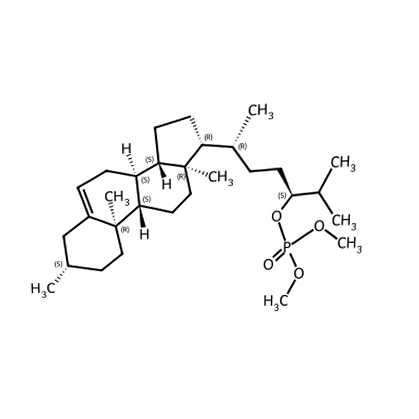 COP(=O)(OC)O[C@@H](CC[C@@H](C)[C@H]1CC[C@H]2[C@@H]3CC=C4C[C@@H](C)CC[C@]4(C)[C@H]3CC[C@]12C)C(C)C